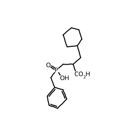 O=C(O)C(CC1CCCCC1)CP(=O)(O)Cc1ccccc1